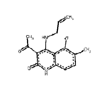 C=CCNc1c(C(C)=O)c(=O)[nH]c2ccc(C)c(Cl)c12